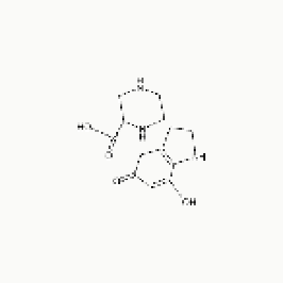 O=C(O)C1CNCCN1.O=C1C=C(O)C2=C(CCN2)C1